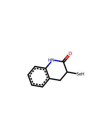 O=C1Nc2ccccc2CC1[SeH]